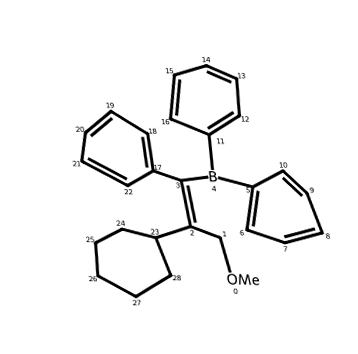 COC/C(=C(\B(c1ccccc1)c1ccccc1)c1ccccc1)C1CCCCC1